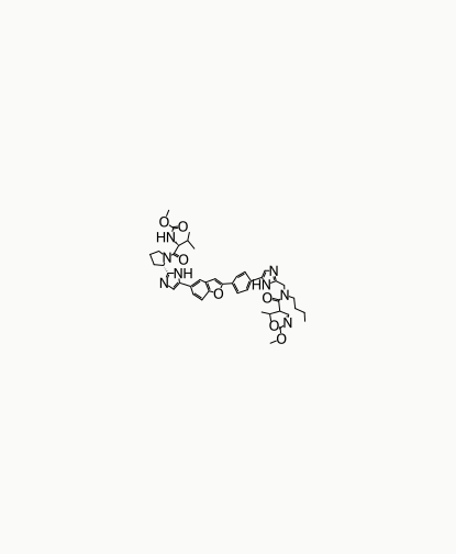 CCCCN(Cc1ncc(-c2ccc(-c3cc4cc(-c5cnc([C@@H]6CCCN6C(=O)[C@@H](NC(=O)OC)C(C)C)[nH]5)ccc4o3)cc2)[nH]1)C(=O)C(/C=N\C(=O)OC)C(C)C